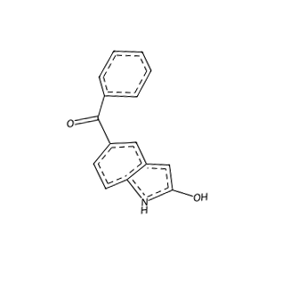 O=C(c1ccccc1)c1ccc2[nH]c(O)cc2c1